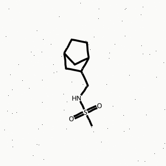 CS(=O)(=O)NCC1CC2CCC1C2